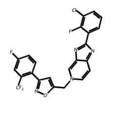 Fc1ccc(-c2cc(Cn3ccc4nc(-c5cccc(Cl)c5F)nc-4c3)on2)c(C(F)(F)F)c1